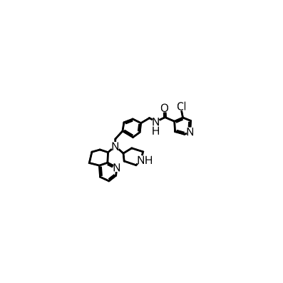 O=C(NCc1ccc(CN(C2CCNCC2)C2CCCc3cccnc32)cc1)c1ccncc1Cl